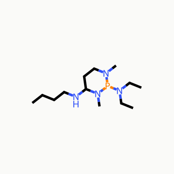 CCCCNC1CCN(C)P(N(CC)CC)N1C